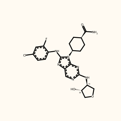 NC(=O)[C@H]1CC[C@@H](n2c(Nc3ccc(Cl)cc3F)nc3cnc(N[C@H]4COC[C@@H]4O)nc32)CC1